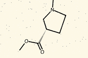 COC(=O)[C@H]1CCN(C)C1